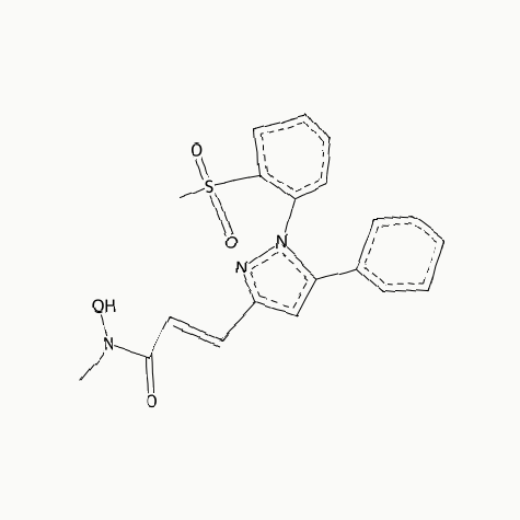 CN(O)C(=O)C=Cc1cc(-c2ccccc2)n(-c2ccccc2S(C)(=O)=O)n1